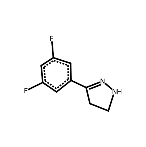 Fc1cc(F)cc(C2=NNCC2)c1